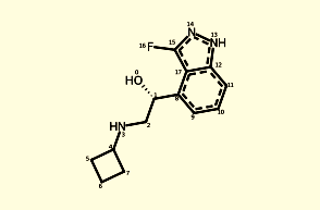 O[C@@H](CNC1CCC1)c1cccc2[nH]nc(F)c12